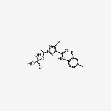 Cc1ccc(NC(=O)c2nn(C(C)OP(=O)(O)O)nc2F)c(F)c1